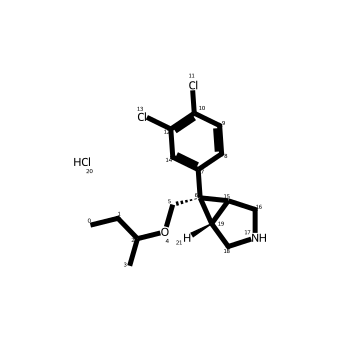 CCC(C)OC[C@]1(c2ccc(Cl)c(Cl)c2)C2CNC[C@@H]21.Cl